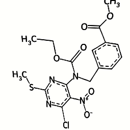 CCOC(=O)N(Cc1cccc(C(=O)OC)c1)c1nc(SC)nc(Cl)c1[N+](=O)[O-]